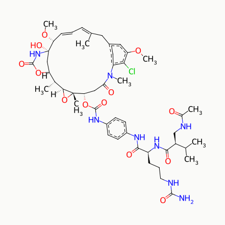 COc1cc2cc(c1Cl)N(C)C(=O)C[C@H](OC(=O)Nc1ccc(NC(=O)[C@H](CCCNC(N)=O)NC(=O)[C@@H](CNC(C)=O)C(C)C)cc1)[C@]1(C)O[C@H]1[C@H](C)[C@@H]1C[C@@](O)(NC(=O)O1)[C@H](OC)/C=C/C=C(\C)C2